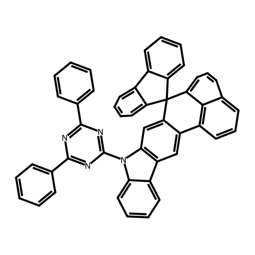 c1ccc(-c2nc(-c3ccccc3)nc(-n3c4ccccc4c4cc5c(cc43)C3(c4ccccc4-c4ccccc43)c3cccc4cccc-5c34)n2)cc1